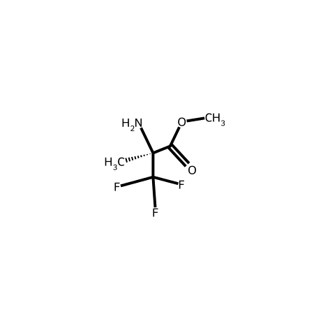 COC(=O)[C@](C)(N)C(F)(F)F